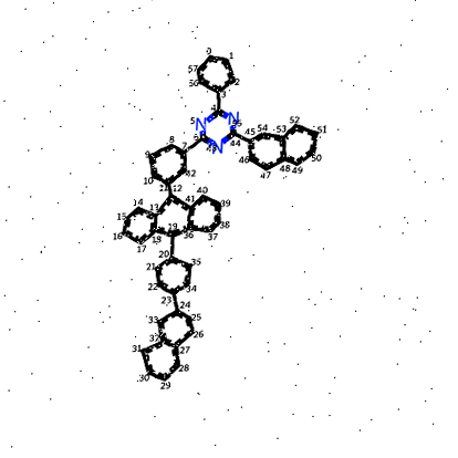 c1ccc(-c2nc(-c3cccc(-c4c5ccccc5c(-c5ccc(-c6ccc7ccccc7c6)cc5)c5ccccc45)c3)nc(-c3ccc4ccccc4c3)n2)cc1